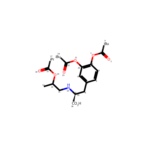 CCC(C)C(=O)Oc1ccc(C[C@H](NCC(C)OC(=O)C(C)C)C(=O)O)cc1OC(=O)C(C)CC